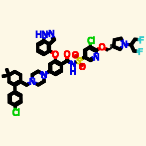 CC1(C)CCC(CN2CCN(c3ccc(C(=O)NS(=O)(=O)c4cnc(OC[C@@H]5CCN(C(CF)CF)C5)c(Cl)c4)c(Oc4cccc5[nH]ncc45)c3)CC2)=C(c2ccc(Cl)cc2)C1